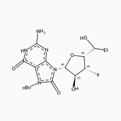 CCCCn1c(=O)n([C@@H]2O[C@H](C(O)CC)[C@H](F)[C@H]2O)c2nc(N)[nH]c(=O)c21